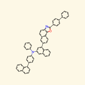 c1ccc(-c2ccc(-c3nc4ccc5cc(-c6cc(N(c7ccccc7)c7ccc(-c8cccc9ccccc89)cc7)cc7ccccc67)ccc5c4o3)cc2)cc1